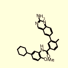 COc1ccc(C2CCCCC2)cc1NC(=O)c1ccc(C)c(-c2ccc3nc(N)ncc3c2)c1